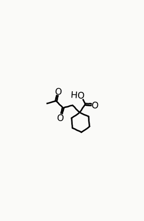 CC(=O)C(=O)CC1(C(=O)O)CCCCC1